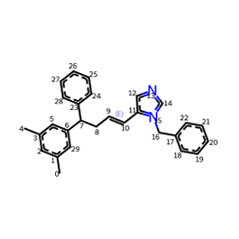 Cc1cc(C)cc(C(C/C=C/c2cncn2Cc2ccccc2)c2ccccc2)c1